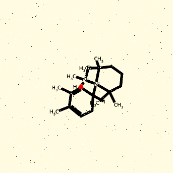 CC[N+](C)(C)[N+]1(C2(I)C=C(C)C(C)=CC2)C(C)(C)CCCC1(C)C